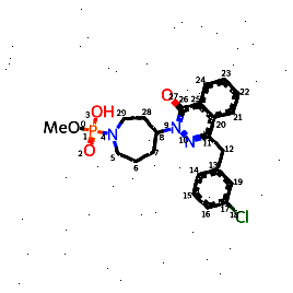 COP(=O)(O)N1CCCC(n2nc(Cc3cccc(Cl)c3)c3ccccc3c2=O)CC1